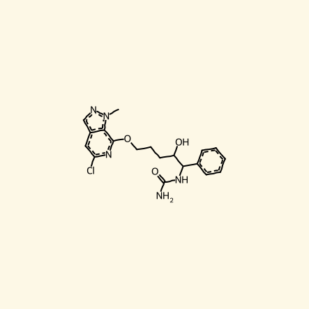 Cn1ncc2cc(Cl)nc(OCCCC(O)C(NC(N)=O)c3ccccc3)c21